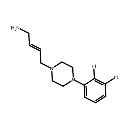 NCC=CCN1CCN(c2cccc(Cl)c2Cl)CC1